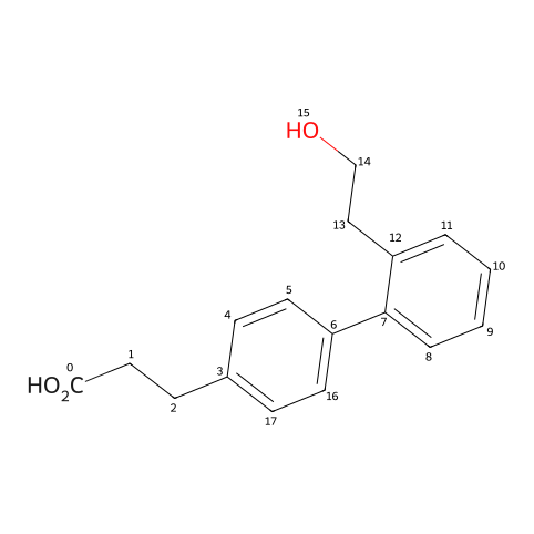 O=C(O)CCc1ccc(-c2ccccc2CCO)cc1